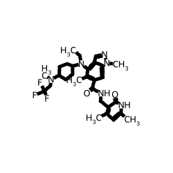 CCN(c1c(C)c(C(=O)NCc2c(C)cc(C)[nH]c2=O)cc2c1cnn2C)C1CCC(N(C)CC(F)(F)F)CC1